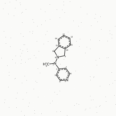 CN(c1ccncc1)N1Cc2ccccc2C1